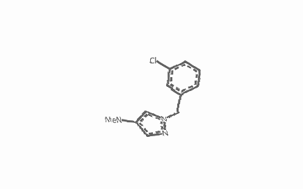 CNc1cnn(Cc2cccc(Cl)c2)c1